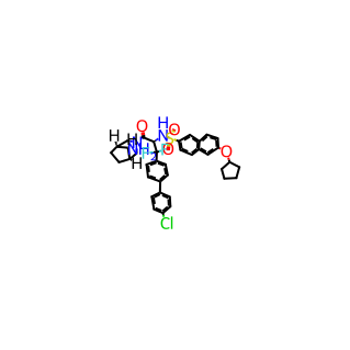 N[C@@H]1[C@@H]2CC[C@H]1CN(C(=O)[C@@H](NS(=O)(=O)c1ccc3cc(OC4CCCC4)ccc3c1)C(F)(F)c1ccc(-c3ccc(Cl)cc3)cc1)C2